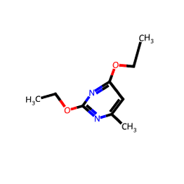 CCOc1cc(C)nc(OCC)n1